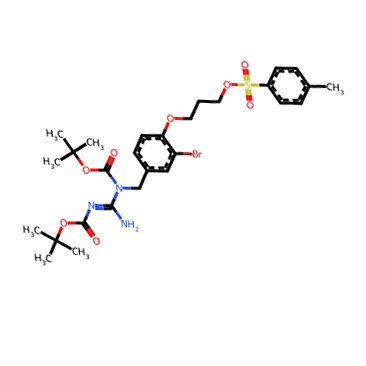 Cc1ccc(S(=O)(=O)OCCCOc2ccc(CN(C(=O)OC(C)(C)C)/C(N)=N/C(=O)OC(C)(C)C)cc2Br)cc1